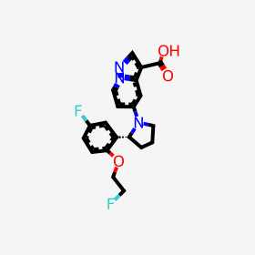 O=C(O)c1cnn2ccc(N3CCC[C@@H]3c3cc(F)ccc3OCCF)cc12